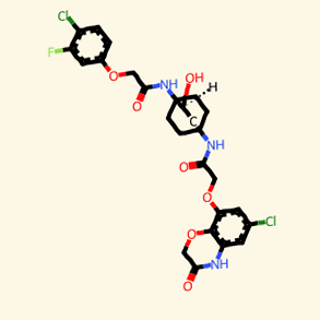 O=C1COc2c(cc(Cl)cc2OCC(=O)NC23CCC(NC(=O)COc4ccc(Cl)c(F)c4)(CC2)[C@@H](O)C3)N1